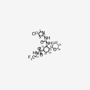 O=C(Nc1ncc(Cl)s1)Nc1cc(S(=O)(=O)NCC(F)(F)F)ccc1C1CCCCO1